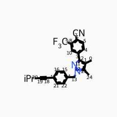 Cc1c(-c2ccc(C#N)c(C(F)(F)F)c2)nn(Cc2ccc(C#CC(C)C)cc2)c1C